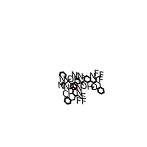 COc1c(Cc2ccccc2)c(C(F)(F)F)nc2ccc(C(O)(c3ccc(Cn4cncc4C(O)(c4ccc5nc(C(F)(F)F)c(Cc6ccccc6)c(Cl)c5c4)c4ccccn4)cn3)c3cncn3C)cc12